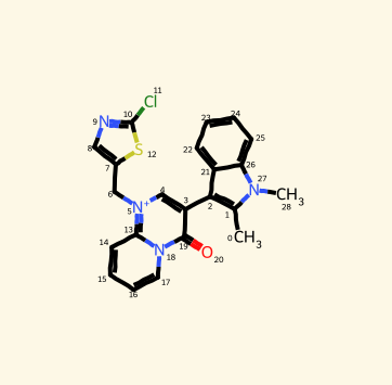 Cc1c(-c2c[n+](Cc3cnc(Cl)s3)c3ccccn3c2=O)c2ccccc2n1C